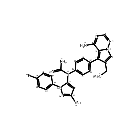 COCc1cn2ncnc(N)c2c1-c1ccc(N(C(N)=O)c2cc(C(C)(C)C)nn2-c2ccc(F)cc2)cc1